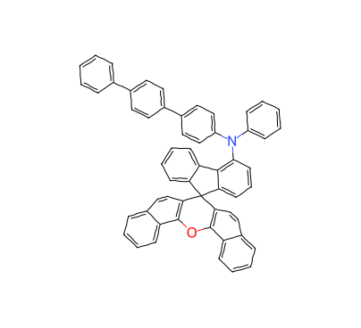 c1ccc(-c2ccc(-c3ccc(N(c4ccccc4)c4cccc5c4-c4ccccc4C54c5ccc6ccccc6c5Oc5c4ccc4ccccc54)cc3)cc2)cc1